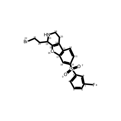 O=S(=O)(c1cccc(F)c1)c1ccc2c3c(oc2c1)C(CCBr)NCC3